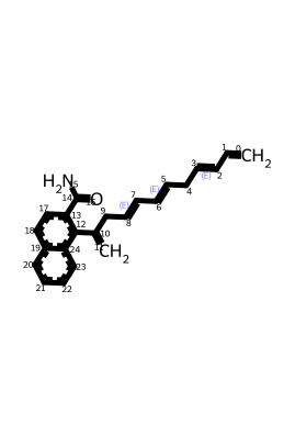 C=C/C=C/C/C=C/C=C/CC(=C)c1c(C(N)=O)ccc2ccccc12